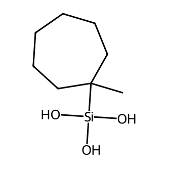 CC1([Si](O)(O)O)CCCCCC1